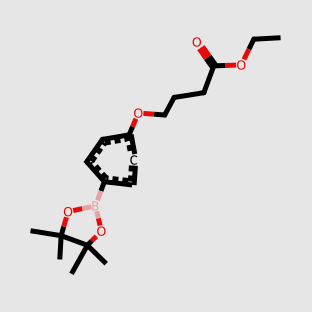 CCOC(=O)CCCOc1ccc(B2OC(C)(C)C(C)(C)O2)cc1